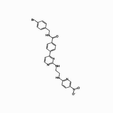 O=C(NCc1ccc(Br)cc1)c1ccc(-c2ccnc(NCCNc3ccc([N+](=O)[O-])cn3)n2)cc1